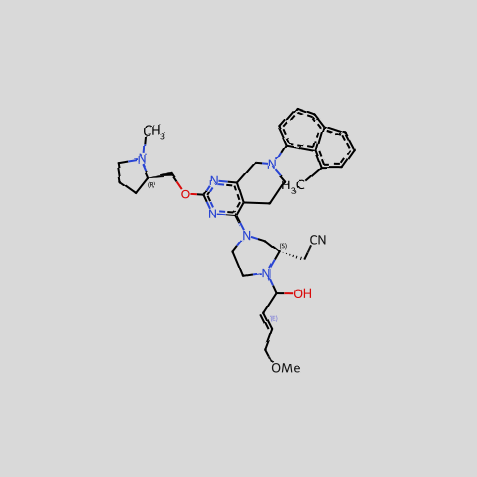 COC/C=C/C(O)N1CCN(c2nc(OC[C@H]3CCCN3C)nc3c2CCN(c2cccc4cccc(C)c24)C3)C[C@@H]1CC#N